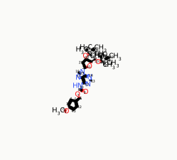 COc1ccc(COC(=O)Nc2ncnc3c2ncn3[C@H]2CC(O[Si](C)(C)C(C)(C)C)[C@@H](CO[Si](C)(C)C(C)(C)C)O2)cc1